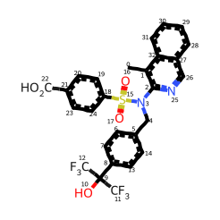 Cc1c(N(Cc2ccc(C(O)(C(F)(F)F)C(F)(F)F)cc2)S(=O)(=O)c2ccc(C(=O)O)cc2)ncc2ccccc12